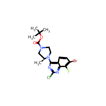 C[C@H]1CN(C(=O)OC(C)(C)C)CCN1c1nc(Cl)nc2c(F)c(Br)ccc12